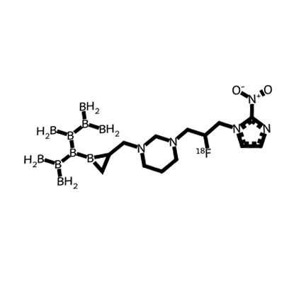 BB(B)B(B)B(B(B)B)B1CC1CN1CCCN(CC([18F])Cn2ccnc2[N+](=O)[O-])C1